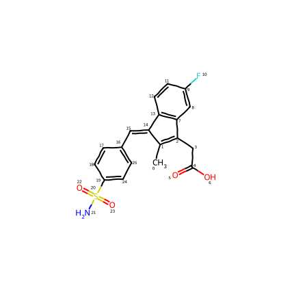 CC1=C(CC(=O)O)c2cc(F)ccc2C1=Cc1ccc(S(N)(=O)=O)cc1